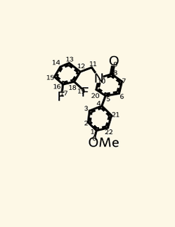 COc1ccc(-c2ccc(=O)n(Cc3cccc(F)c3F)c2)cc1